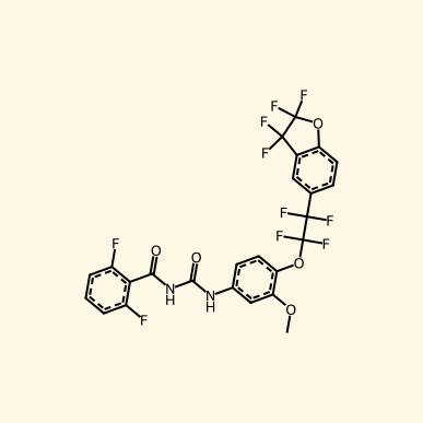 COc1cc(NC(=O)NC(=O)c2c(F)cccc2F)ccc1OC(F)(F)C(F)(F)c1ccc2c(c1)C(F)(F)C(F)(F)O2